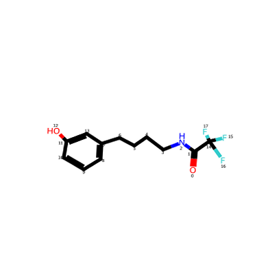 O=C(NCCCCc1cccc(O)c1)C(F)(F)F